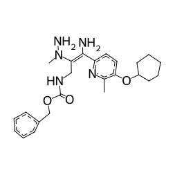 Cc1nc(/C(N)=C(\CNC(=O)OCc2ccccc2)N(C)N)ccc1OC1CCCCC1